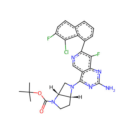 CC(C)(C)OC(=O)N1CC[C@@H]2[C@H]1CN2c1nc(N)nc2c(F)c(-c3cccc4ccc(F)c(Cl)c34)ncc12